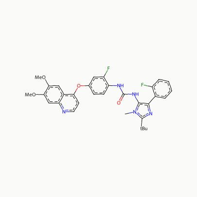 COc1cc2nccc(Oc3ccc(NC(=O)Nc4c(-c5ccccc5F)nc(C(C)(C)C)n4C)c(F)c3)c2cc1OC